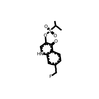 CC(C)S(=O)(=O)Oc1c[nH]c2cc(CF)ccc2c1=O